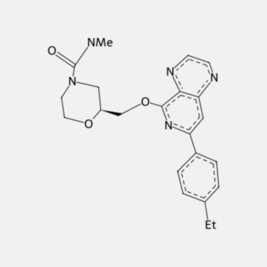 CCc1ccc(-c2cc3nccnc3c(OC[C@@H]3CN(C(=O)NC)CCO3)n2)cc1